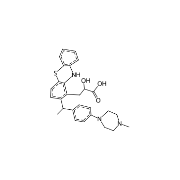 CC(c1ccc(N2CCN(C)CC2)cc1)c1ccc2c(c1CC(O)C(=O)O)Nc1ccccc1S2